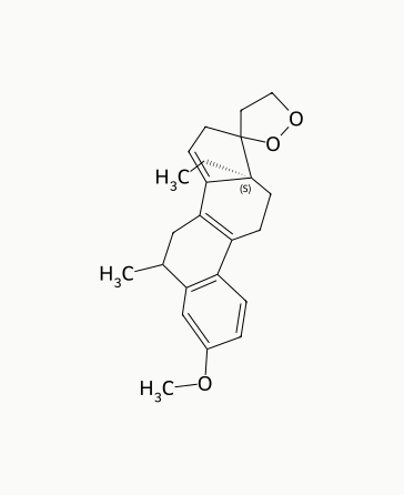 CC[C@]12CCC3=C(CC(C)c4cc(OC)ccc43)C1=CCC21CCOO1